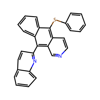 c1ccc(Sc2c3ccccc3c(-c3ccc4ccccc4n3)c3cnccc23)cc1